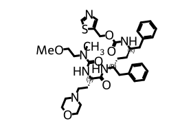 COCCN(C)C(=O)N[C@@H](CCN1CCOCC1)C(=O)N[C@H](CC[C@H](Cc1ccccc1)NC(=O)OCc1cncs1)Cc1ccccc1